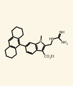 CCOC(=O)c1c(CNC(=N)N)n(C)c2cc(-c3c4c(cc5c3CCCC5)CCCC4)ccc12